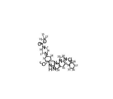 COc1cc(N2CCN(C(=O)OC(C)(C)C)CC2)ccc1Nc1ncc2c(n1)N1CCN=C1C(c1ccccc1Cl)=C2